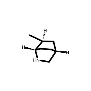 C[C@H]1C[C@H]2CC[C@@H]1NC2